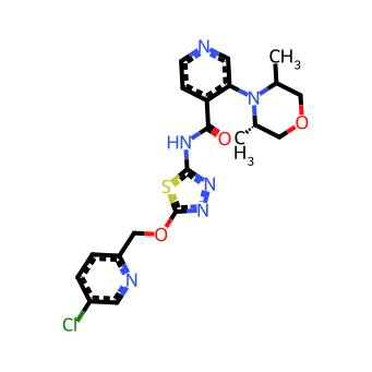 CC1COC[C@H](C)N1c1cnccc1C(=O)Nc1nnc(OCc2ccc(Cl)cn2)s1